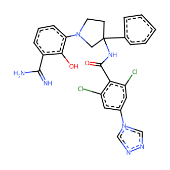 N=C(N)c1cccc(N2CCC(NC(=O)c3c(Cl)cc(-n4cnnc4)cc3Cl)(c3ccccc3)C2)c1O